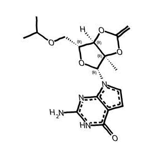 C=C1O[C@@H]2[C@@H](COC(C)C)O[C@@H](n3ccc4c(=O)[nH]c(N)nc43)[C@]2(C)O1